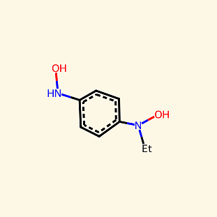 CCN(O)c1ccc(NO)cc1